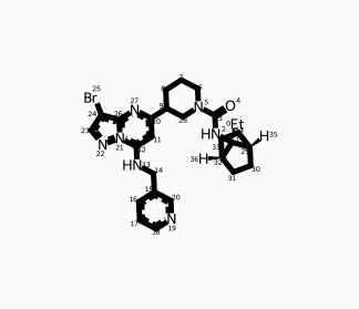 CC[C@]1(NC(=O)N2CCCC(c3cc(NCc4cccnc4)n4ncc(Br)c4n3)C2)[C@H]2CC[C@@H]1CC2